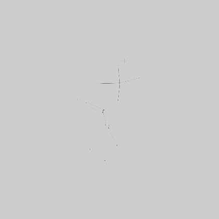 CC(C)(S)CC(=O)N1CCC1